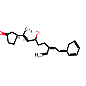 C=C/C(=C\C=C1\C=CC=CC1)CCC(O)/C=C(\C)[C@H]1CCC(=O)C1